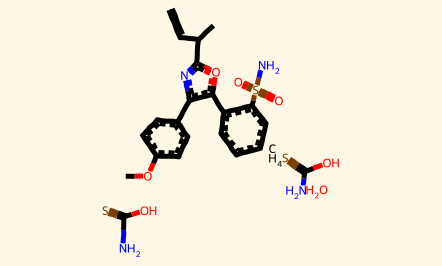 C.C=CC(C)c1nc(-c2ccc(OC)cc2)c(-c2ccccc2S(N)(=O)=O)o1.NC(O)=S.NC(O)=S.O